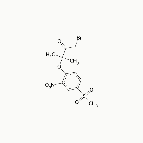 CC(C)(Oc1ccc(S(C)(=O)=O)cc1[N+](=O)[O-])C(=O)CBr